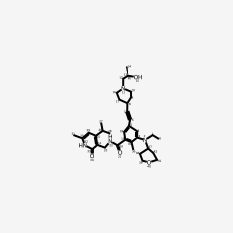 CCN(c1cc(C#CC2CCN(C[C@@H](C)O)CC2)cc(C(=O)NCc2c(C(C)C)cc(C)[nH]c2=O)c1C)C1CCOCC1